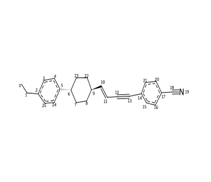 CCc1ccc([C@H]2CC[C@H](/C=C/C#Cc3ccc(C#N)cc3)CC2)cc1